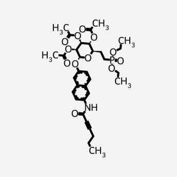 CCCC#CC(=O)Nc1ccc2cc(O[C@H]3O[C@H](CCP(=O)(OCC)OCC)[C@@H](OC(C)=O)[C@H](OC(C)=O)[C@@H]3OC(C)=O)ccc2c1